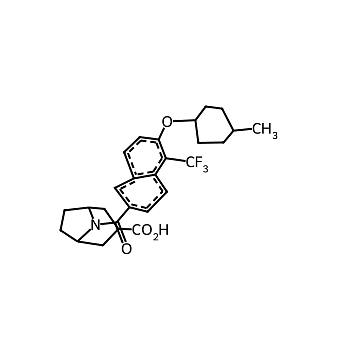 CC1CCC(Oc2ccc3cc(C(=O)N4C5CCC4CC(C(=O)O)C5)ccc3c2C(F)(F)F)CC1